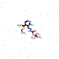 C=C(OCC)c1ccnc(Cl)c1CCNC(=O)OC(C)(C)C